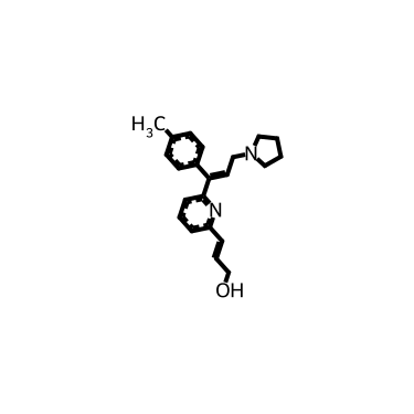 Cc1ccc(/C(=C\CN2CCCC2)c2cccc(/C=C/CO)n2)cc1